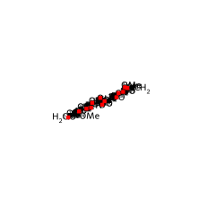 C=CC(=O)Oc1ccc(C(=O)Oc2ccc(C(=O)O[C@H]3CO[C@H]4[C@@H]3OC[C@H]4OC(=O)c3ccc(OC(=O)c4ccc(OC(=O)C=C)c(OC)c4)cc3)cc2)c(OC)c1